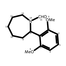 COc1cccc(OC)c1C1CCCCCN1C=O